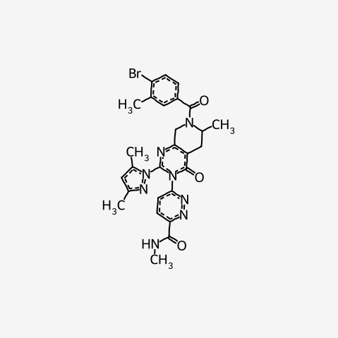 CNC(=O)c1ccc(-n2c(-n3nc(C)cc3C)nc3c(c2=O)CC(C)N(C(=O)c2ccc(Br)c(C)c2)C3)nn1